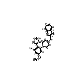 CC(C)Oc1cc(F)c(-c2nn[nH]n2)c(N2CCN(Cc3nc4ccccc4s3)CC2)c1